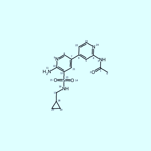 CC(=O)Nc1cc(-c2cnc(N)c(S(=O)(=O)NCC3CC3)c2)ccn1